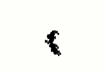 COc1ccc(C(NC2CCN([C@H](C)CCNC(=O)c3ccc(C(=O)NC(C)C)cc3C)CC2)c2cccnc2)cc1